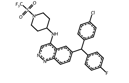 O=S(=O)(N1CCC(Nc2cnnc3ccc(C(c4ccc(F)cc4)c4ccc(Cl)cc4)cc23)CC1)C(F)(F)F